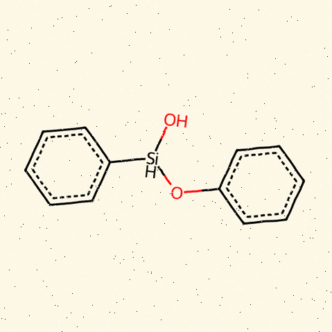 O[SiH](Oc1ccccc1)c1ccccc1